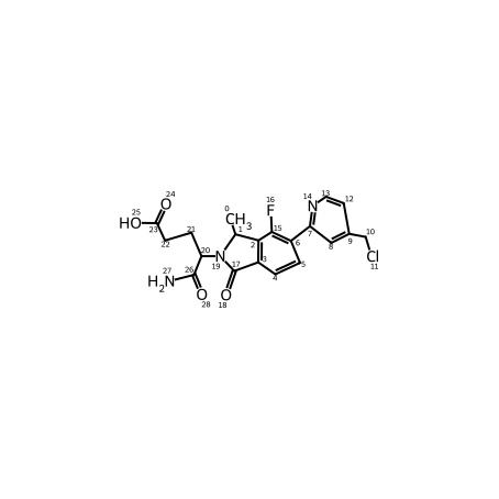 CC1c2c(ccc(-c3cc(CCl)ccn3)c2F)C(=O)N1C(CCC(=O)O)C(N)=O